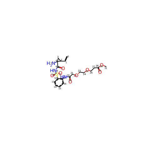 C=CC1CC1(N)C(=O)NS(=O)(=O)c1ccccc1NC(=O)COCCOCCC(=O)OC